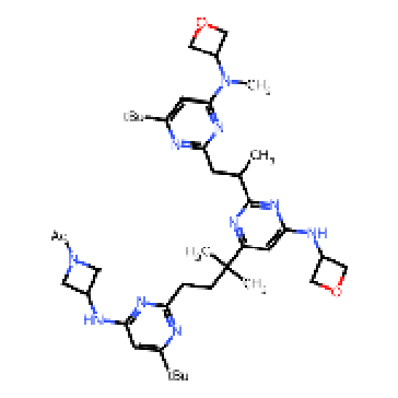 CC(=O)N1CC(Nc2cc(C(C)(C)C)nc(CCC(C)(C)c3cc(NC4COC4)nc(C(C)Cc4nc(N(C)C5COC5)cc(C(C)(C)C)n4)n3)n2)C1